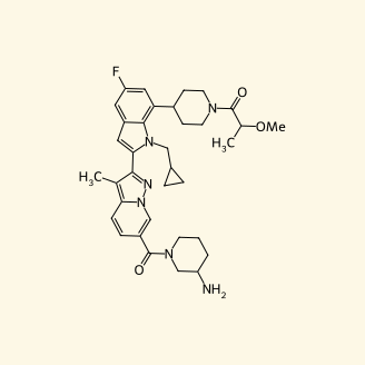 COC(C)C(=O)N1CCC(c2cc(F)cc3cc(-c4nn5cc(C(=O)N6CCCC(N)C6)ccc5c4C)n(CC4CC4)c23)CC1